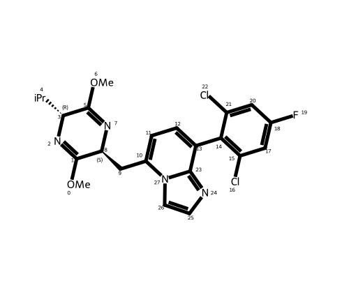 COC1=N[C@H](C(C)C)C(OC)=N[C@H]1Cc1ccc(-c2c(Cl)cc(F)cc2Cl)c2nccn12